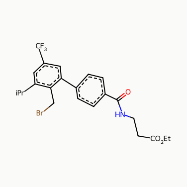 CCOC(=O)CCNC(=O)c1ccc(-c2cc(C(F)(F)F)cc(C(C)C)c2CBr)cc1